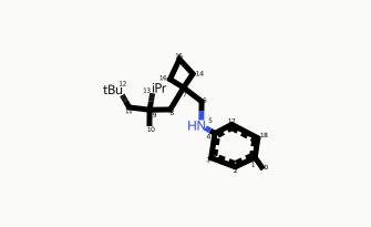 Cc1ccc(NCC2(CC(C)(CC(C)(C)C)C(C)C)CCC2)cc1